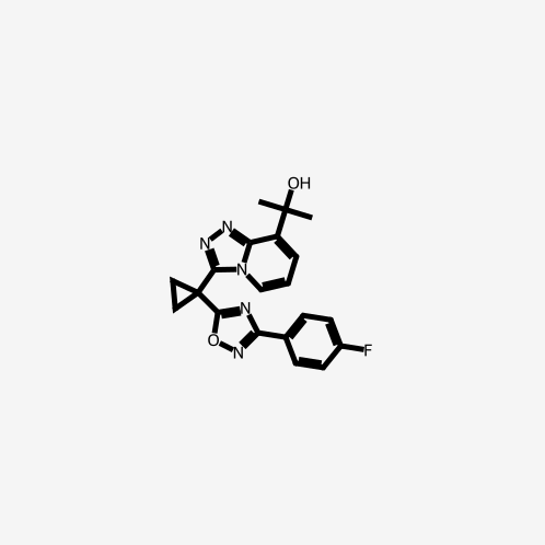 CC(C)(O)c1cccn2c(C3(c4nc(-c5ccc(F)cc5)no4)CC3)nnc12